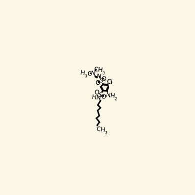 CCCCCCCCCNS(=O)(=O)c1cc(S(=O)(=O)N=CN(C)C)c(Cl)cc1N